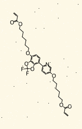 C=CC(=O)OCCCCCCOc1ccc(-c2ccc(OCCCCCCOC(=O)C=C)c3c2OC(F)(F)O3)nc1